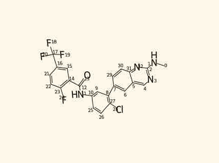 CNc1ncc2cc(-c3cc(NC(=O)c4cc(C(F)(F)F)ccc4F)ccc3Cl)ccc2n1